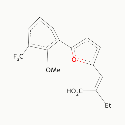 CCC(=Cc1ccc(-c2cccc(C(F)(F)F)c2OC)o1)C(=O)O